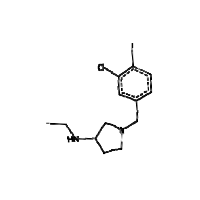 CCNC1CCN(Cc2ccc(I)c(Cl)c2)C1